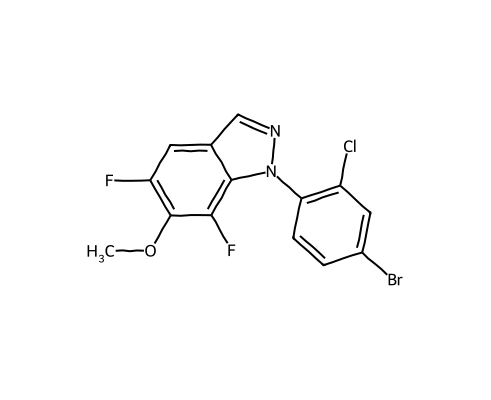 COc1c(F)cc2cnn(-c3ccc(Br)cc3Cl)c2c1F